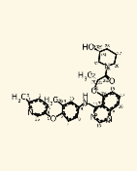 Cc1ccc(Oc2ccc(Nc3ncnc4cccc(O[C@H](C)C(=O)N5CCC[C@H](O)C5)c34)cc2C)cn1